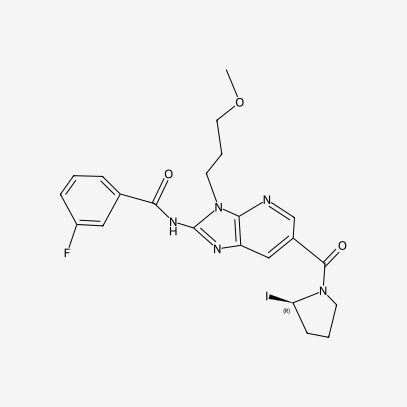 COCCCn1c(NC(=O)c2cccc(F)c2)nc2cc(C(=O)N3CCC[C@H]3I)cnc21